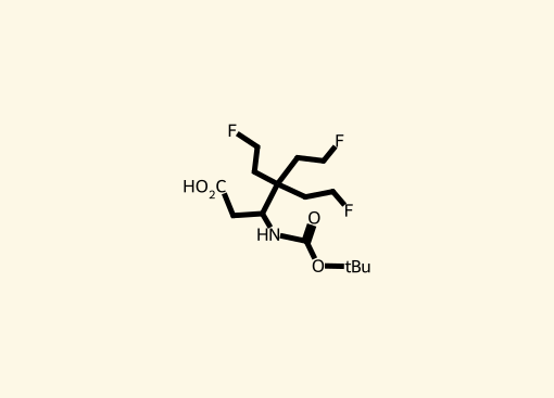 CC(C)(C)OC(=O)NC(CC(=O)O)C(CCF)(CCF)CCF